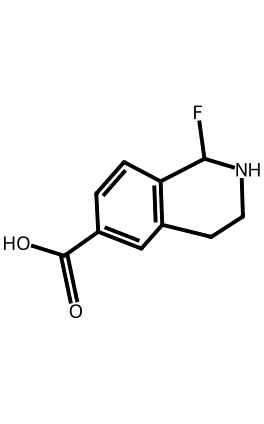 O=C(O)c1ccc2c(c1)CCNC2F